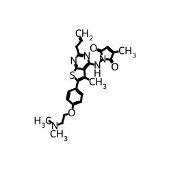 C=CCc1nc(NN2C(=O)C=C(C)C2=O)c2c(C)c(-c3ccc(OCCN(C)C)cc3)sc2n1